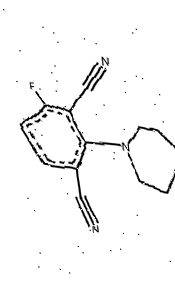 N#Cc1ccc(F)c(C#N)c1N1CCOCC1